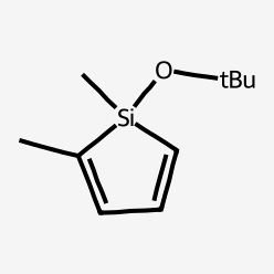 CC1=CC=C[Si]1(C)OC(C)(C)C